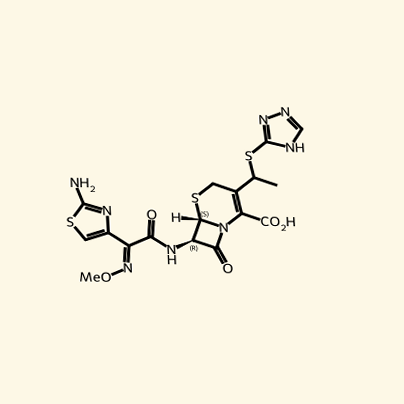 CON=C(C(=O)N[C@@H]1C(=O)N2C(C(=O)O)=C(C(C)Sc3nnc[nH]3)CS[C@@H]12)c1csc(N)n1